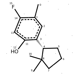 Cc1cc([C@@H]2CCCC2(C)C)c(O)cc1F